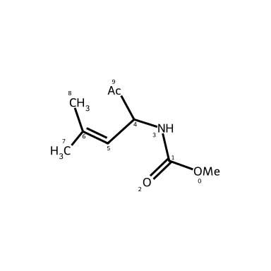 COC(=O)NC(C=C(C)C)C(C)=O